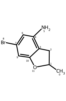 CC1Cc2c(N)cc(Br)cc2O1